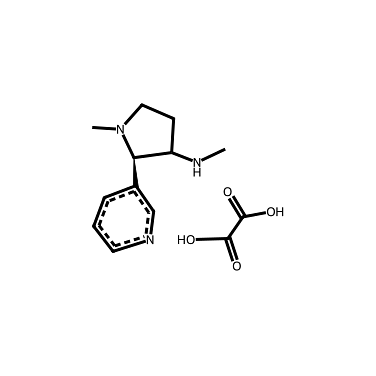 CNC1CCN(C)[C@@H]1c1cccnc1.O=C(O)C(=O)O